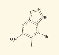 Cc1c([N+](=O)[O-])cc2cn[nH]c2c1Br